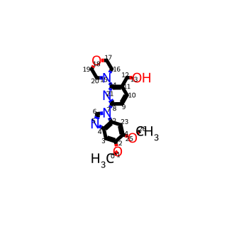 COc1cc2ncn(-c3ccc(CO)c(N4CCOCC4)n3)c2cc1OC